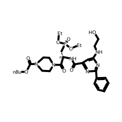 CCCCOC(=O)N1CCN(C(=O)[C@H](CP(=O)(OCC)OCC)NC(=O)c2cc(NCCO)nc(-c3ccccc3)n2)CC1